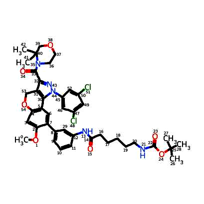 COc1cc2c(cc1-c1cccc(NC(=O)CCCCCNC(=O)OC(C)(C)C)c1)-c1c(c(C(=O)N3CCOCC3(C)C)nn1-c1cc(Cl)cc(Cl)c1)CO2